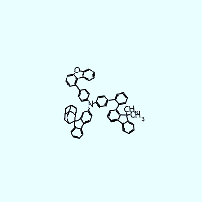 CC1(C)c2ccccc2-c2cccc(-c3ccccc3-c3ccc(N(c4ccc(-c5cccc6oc7ccccc7c56)cc4)c4ccc5c(c4)C4(c6ccccc6-5)C5CC6CC(C5)CC4C6)cc3)c21